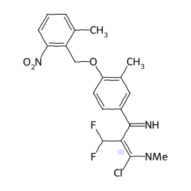 CN/C(Cl)=C(\C(=N)c1ccc(OCc2c(C)cccc2[N+](=O)[O-])c(C)c1)C(F)F